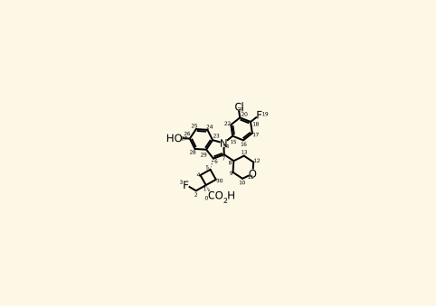 O=C(O)[C@]1(CF)C[C@H](c2c(C3CCOCC3)n(-c3ccc(F)c(Cl)c3)c3ccc(O)cc32)C1